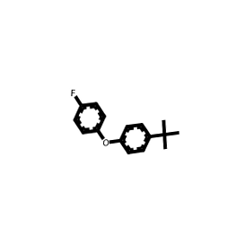 CC(C)(C)c1ccc(Oc2ccc(F)cc2)cc1